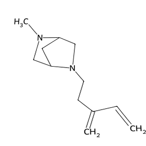 C=CC(=C)CCN1CC2CC1CN2C